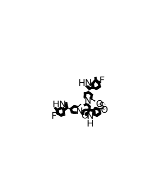 Cc1c(F)ccc2c([C@H]3CCN(C(C)CC4(CC(C)N5CC[C@H](c6c[nH]c7c(C)c(F)ccc67)C[C@H]5C)C(=O)Nc5ccc(S(C)(=O)=O)cc54)[C@H](C)C3)c[nH]c12